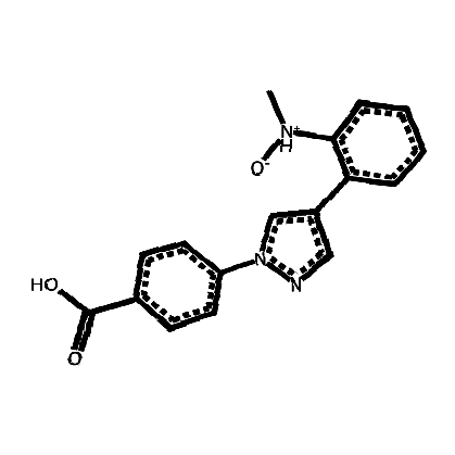 C[NH+]([O-])c1ccccc1-c1cnn(-c2ccc(C(=O)O)cc2)c1